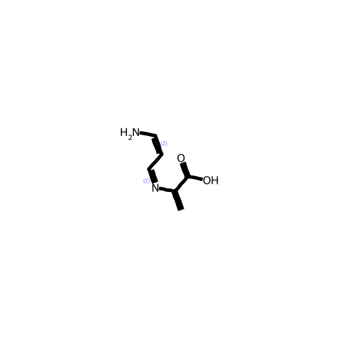 C=C(/N=C\C=C/N)C(=O)O